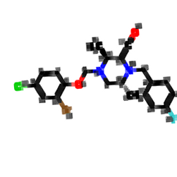 C[C@@H]1CN(COc2ccc(Cl)cc2Br)[C@@H](C)C(=C=O)N1Cc1ccc(F)cc1